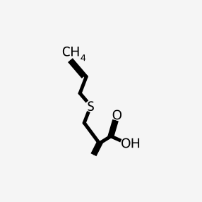 C.C=CCSCC(=C)C(=O)O